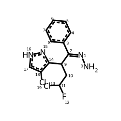 NN=C(c1ccccc1)C(CC(F)Cl)c1n[nH]cc1Cl